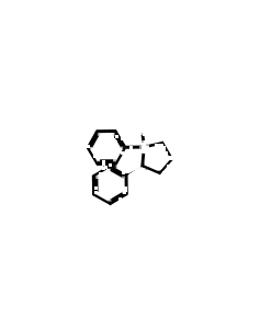 O[P]1(c2ccccc2)CCC[C@H]1c1ccccc1